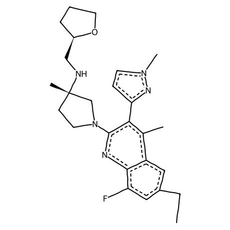 CCc1cc(F)c2nc(N3CC[C@](C)(NC[C@H]4CCCO4)C3)c(-c3ccn(C)n3)c(C)c2c1